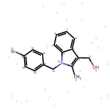 Cc1c(CO)c2ccccc2n1Cc1ccc(Br)cc1